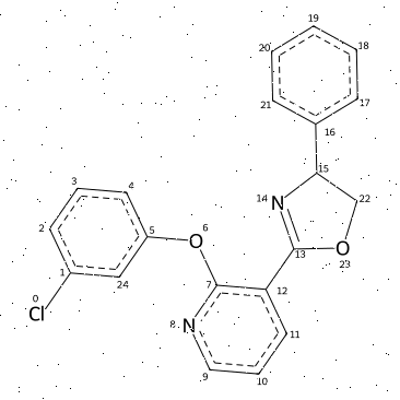 Clc1cccc(Oc2ncccc2C2=NC(c3ccccc3)CO2)c1